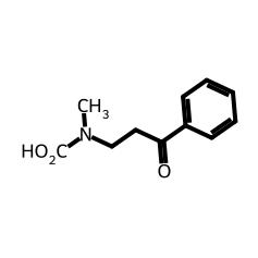 CN(CCC(=O)c1ccccc1)C(=O)O